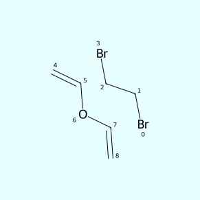 BrCCBr.C=COC=C